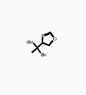 CC(C)(C)C(C)(C1COC=N1)C(C)(C)C